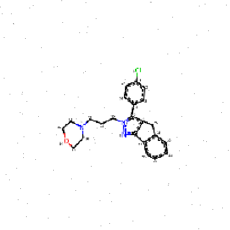 Clc1ccc(-c2c3c(nn2CCCN2CCOCC2)-c2ccccc2C3)cc1